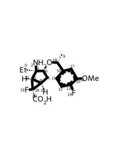 CC[C@@]1(N)[C@H]2[C@@H](C[C@H]1O[C@H](C)c1ccc(F)c(OC)c1)[C@]2(F)C(=O)O